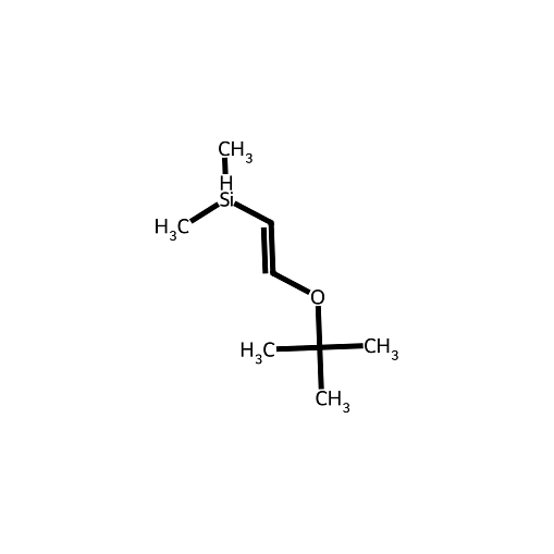 C[SiH](C)C=COC(C)(C)C